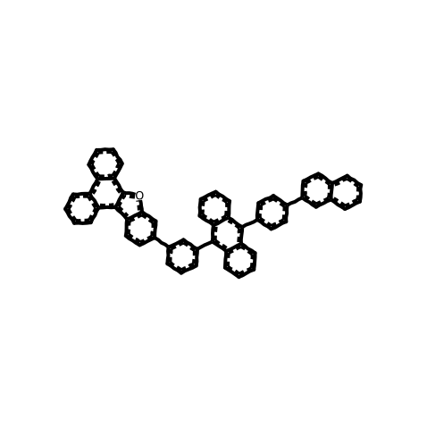 c1cc(-c2ccc3c(c2)oc2c4ccccc4c4ccccc4c32)cc(-c2c3ccccc3c(-c3ccc(-c4ccc5ccccc5c4)cc3)c3ccccc23)c1